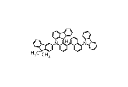 CC1(C)c2ccccc2-c2cc(N3c4cccc5c4C(C)(c4ccccc4-5)c4c(-c5cccc6c(-n7c8ccccc8c8ccccc87)cccc56)cccc43)ccc21